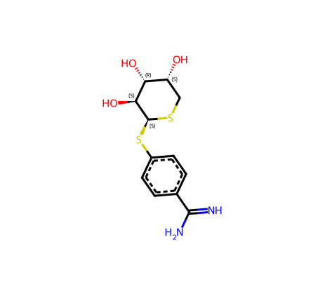 N=C(N)c1ccc(S[C@@H]2SC[C@@H](O)[C@@H](O)[C@@H]2O)cc1